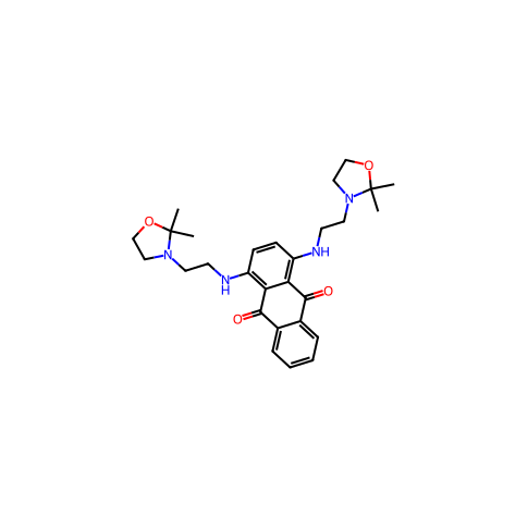 CC1(C)OCCN1CCNc1ccc(NCCN2CCOC2(C)C)c2c1C(=O)c1ccccc1C2=O